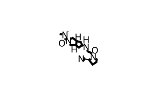 CN(C)C(=O)N1C[C@@H]2CC(NCC(=O)N3CCC[C@H]3C#N)C[C@H]2C1